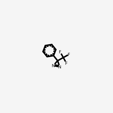 FC(F)(F)C1(c2ccccc2)N=N1